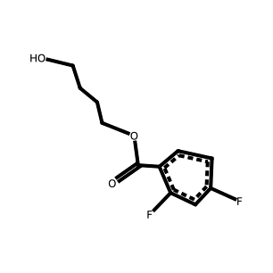 O=C(OCCCCO)c1ccc(F)cc1F